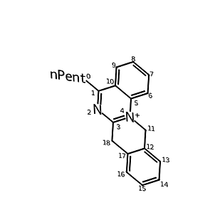 CCCCCc1nc2[n+](c3ccccc13)Cc1ccccc1C2